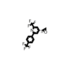 FC(F)(F)c1ccc(-c2cc([C@@H]3CO3)cc(C(F)(F)F)n2)cc1